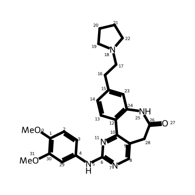 COc1ccc(Nc2ncc3c(n2)-c2ccc(CCN4CCCC4)cc2NC(=O)C3)cc1OC